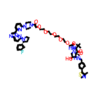 Cc1ncsc1-c1ccc(CNC(=O)[C@@]2(C(=O)C(NC(=O)COCCOCCOCCOCCOCC(=O)N3CCN(c4cccc(-c5cnc6ccc(N7CCC[C@@H]7c7cccc(F)c7)nn56)n4)CC3)C(C)(C)C)CC(O)CN2)cc1